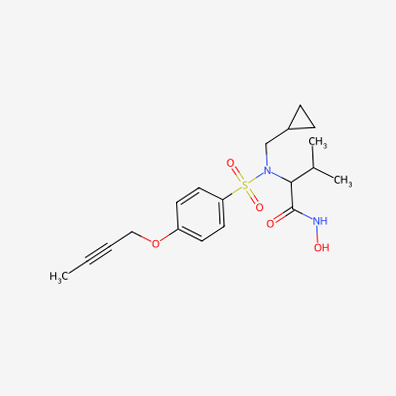 CC#CCOc1ccc(S(=O)(=O)N(CC2CC2)C(C(=O)NO)C(C)C)cc1